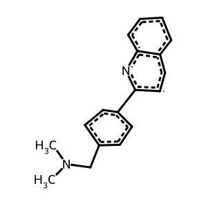 CN(C)Cc1ccc(-c2[c]cc3ccccc3n2)cc1